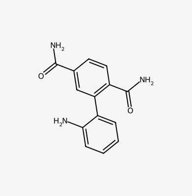 NC(=O)c1ccc(C(N)=O)c(-c2ccccc2N)c1